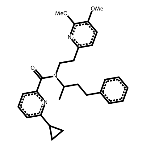 COc1ccc(CCN(C(=O)c2cccc(C3CC3)n2)C(C)CCc2ccccc2)nc1OC